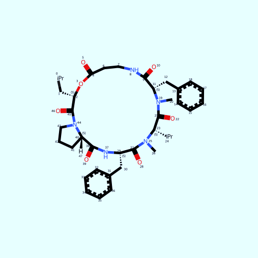 CC(C)C[C@@H]1OC(=O)CCNC(=O)[C@H](Cc2ccccc2)N(C)C(=O)[C@H](C(C)C)N(C)C(=O)[C@H](Cc2ccccc2)NC(=O)[C@@H]2CCCN2C1=O